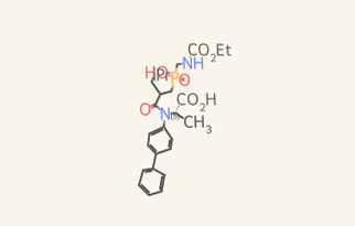 CCOC(=O)NCP(=O)(O)CC(CC(C)C)C(=O)N(c1ccc(-c2ccccc2)cc1)[C@@H](C)C(=O)O